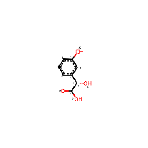 O=C(O)[C@@H](O)c1cccc(O)c1